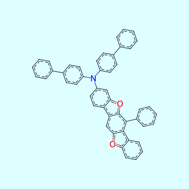 c1ccc(-c2ccc(N(c3ccc(-c4ccccc4)cc3)c3ccc4c(c3)oc3c(-c5ccccc5)c5c(cc34)oc3ccccc35)cc2)cc1